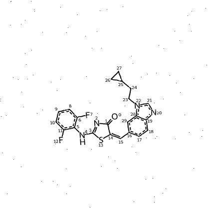 O=C1N=C(Nc2c(F)cccc2F)SC1=Cc1ccc2ncn(CCC3CC3)c2c1